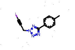 Cc1ccc(-c2nnn(CC#CI)n2)cc1